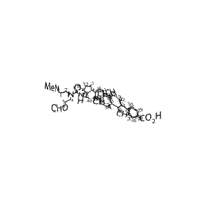 CNCCN(CCC=O)C(=O)NC12CCCC1C1CCC3C4(C)CC=C(c5ccc(C(=O)O)cc5)C(C)C4CCC3(C)[C@]1(C)CC2